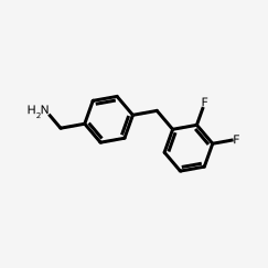 NCc1ccc(Cc2cccc(F)c2F)cc1